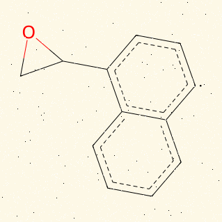 [c]1ccc(C2CO2)c2ccccc12